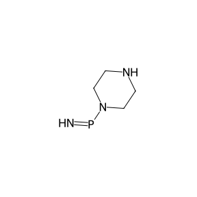 N=PN1CCNCC1